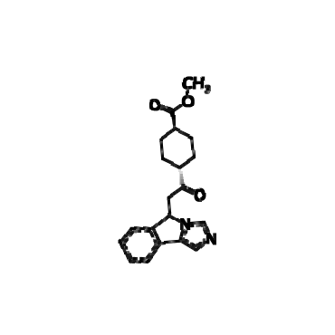 COC(=O)[C@H]1CC[C@H](C(=O)CC2c3ccccc3-c3cncn32)CC1